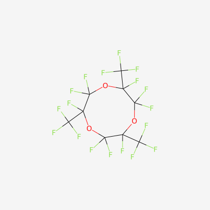 FC(F)(F)C1(F)OC(F)(F)C(F)(C(F)(F)F)OC(F)(F)C(F)(C(F)(F)F)OC1(F)F